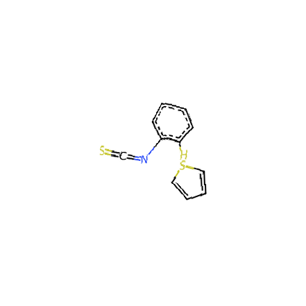 S=C=Nc1ccccc1[SH]1C=CC=C1